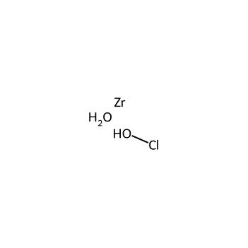 O.OCl.[Zr]